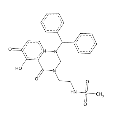 CS(=O)(=O)NCCN1CN(C(c2ccccc2)c2ccccc2)n2ccc(=O)c(O)c2C1=O